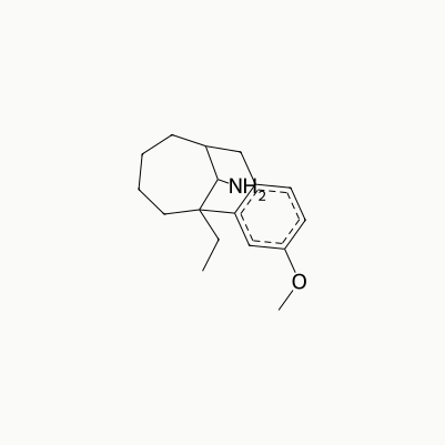 CCC12CCCCC(Cc3ccc(OC)cc31)C2N